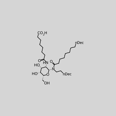 CCCCCCCCCCCCCCCCCC(=O)N(CCCCCCCCCCCC)[C@@H]1O[C@H](CO)[C@H](O)[C@H](O)[C@@H]1NC(=O)CCCCCCC(=O)O